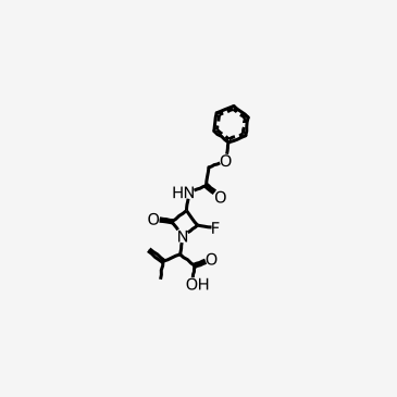 C=C(C)C(C(=O)O)N1C(=O)C(NC(=O)COc2ccccc2)C1F